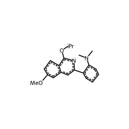 COc1ccc2c(OC(C)C)nc(-c3ccccc3N(C)C)cc2c1